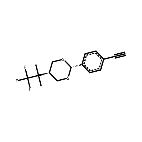 C#Cc1ccc([C@H]2SC[C@H](C(C)(C)C(F)(F)F)CS2)cc1